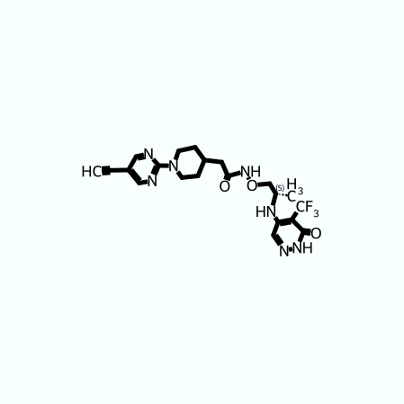 C#Cc1cnc(N2CCC(CC(=O)NOC[C@H](C)Nc3cn[nH]c(=O)c3C(F)(F)F)CC2)nc1